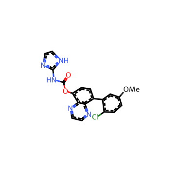 COc1ccc(Cl)c(-c2ccc(OC(=O)Nc3ncc[nH]3)c3nccnc23)c1